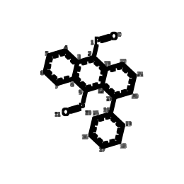 O=Pc1c2ccccc2c(P=O)c2c(-c3ccccc3)cccc12